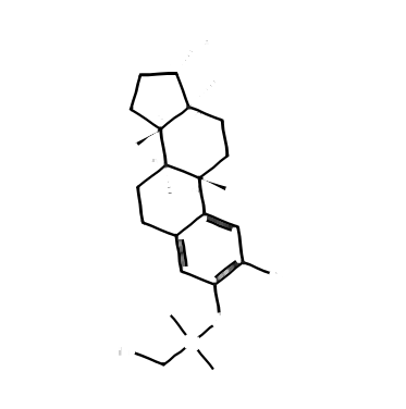 CC(=O)O[C@H]1CC[C@H]2[C@@H]3CCc4cc(O[Si](C)(C)CC(C)C)c(C(C)=O)cc4[C@H]3CC[C@]12C